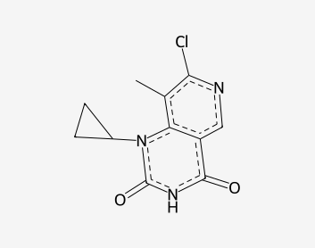 Cc1c(Cl)ncc2c(=O)[nH]c(=O)n(C3CC3)c12